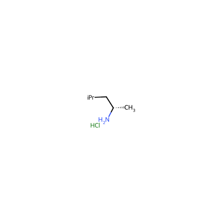 CC(C)C[C@H](C)N.Cl